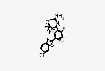 CC1(C)OCC(N)=N[C@](C)(c2cc(-c3nc4ccc(Cl)cc4s3)ccc2F)C1(F)F.Cl